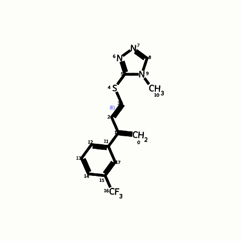 C=C(/C=C/Sc1nncn1C)c1cccc(C(F)(F)F)c1